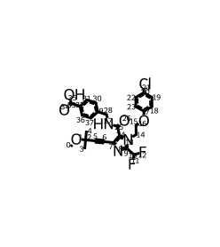 COC(C)(C)C#Cc1nc(C(F)F)n(CCOc2ccc(Cl)cc2)c1C(=O)NCc1ccc(C(=O)O)cc1